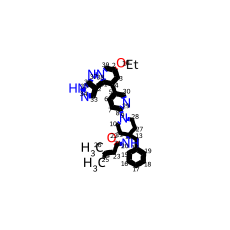 CCOc1cc(-c2ccc(N3CCC(Cc4ccccc4)(NC(=O)C=C(C)C)CC3)nc2)c2c3cn[nH]c3nn2c1